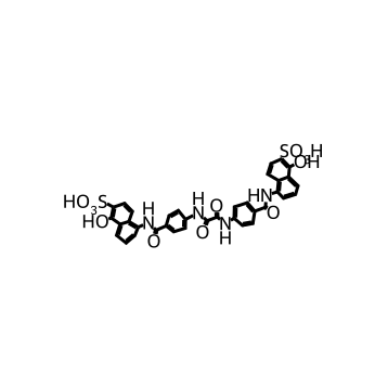 O=C(Nc1ccc(C(=O)Nc2cccc3c(O)c(S(=O)(=O)O)ccc23)cc1)C(=O)Nc1ccc(C(=O)Nc2cccc3c(O)c(S(=O)(=O)O)ccc23)cc1